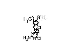 COc1cc(Cl)c(Cn2ccc3c(Cl)nc(N)nc32)cc1OC